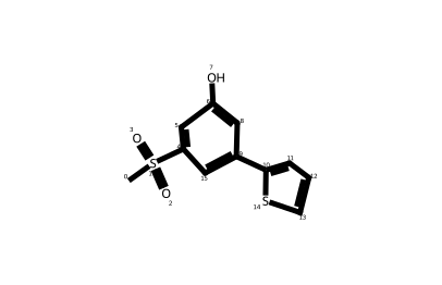 CS(=O)(=O)c1cc(O)cc(-c2cccs2)c1